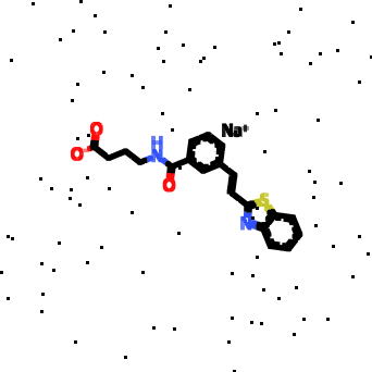 O=C([O-])CCCNC(=O)c1cccc(C=Cc2nc3ccccc3s2)c1.[Na+]